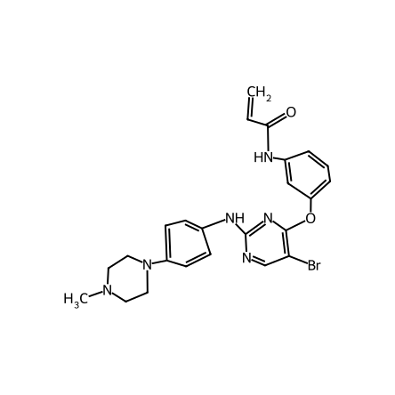 C=CC(=O)Nc1cccc(Oc2nc(Nc3ccc(N4CCN(C)CC4)cc3)ncc2Br)c1